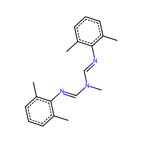 Cc1cccc(C)c1N=CN(C)C=Nc1c(C)cccc1C